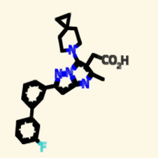 Cc1nc2cc(-c3cccc(-c4cccc(F)c4)c3)nn2c(N2CCC3(CC2)CC3)c1CC(=O)O